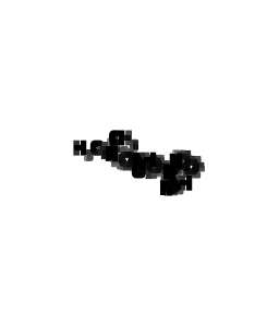 CCCN(CCC)Cc1ccc(NC(=O)c2ccc(CN(Cc3ncc[nH]3)Cc3nccc4ccccc34)cc2)cc1